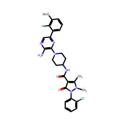 COc1cccc(-c2cnc(N)c(N3CCC(NC(=O)c4c(C)n(C)n(-c5ccccc5Cl)c4=O)CC3)n2)c1F